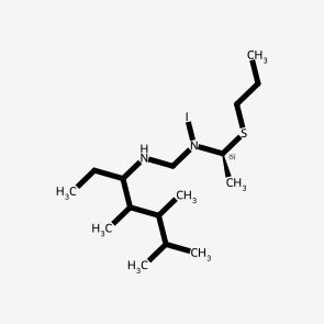 CCCS[C@@H](C)N(I)CNC(CC)C(C)C(C)C(C)C